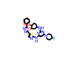 OC1CCC(Nc2nc(Nc3ncc(-c4nnc(-c5ccccc5)o4)s3)cc(N3CCC(F)CC3)n2)CC1